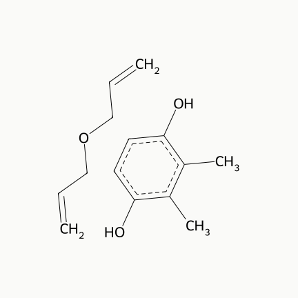 C=CCOCC=C.Cc1c(O)ccc(O)c1C